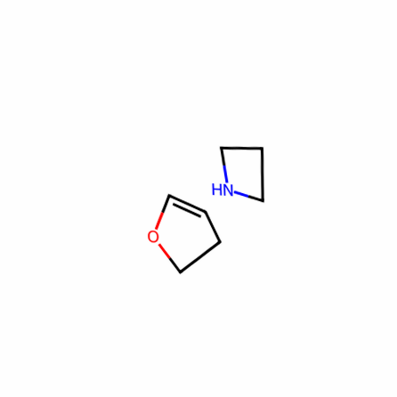 C1=COCC1.C1CNC1